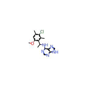 COc1cc(C)c(Cl)c(C)c1C(C)Nc1ncnc2[nH]cnc12